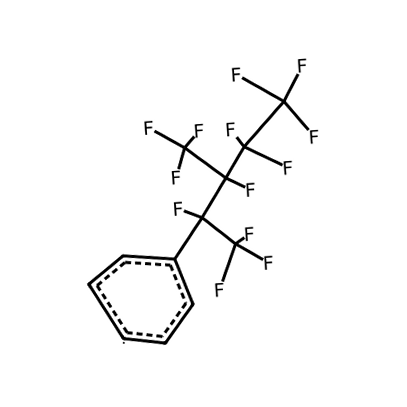 FC(F)(F)C(F)(F)C(F)(C(F)(F)F)C(F)(c1cc[c]cc1)C(F)(F)F